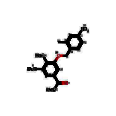 COC(=O)c1cc(OC)c(OC)c(OCc2ccc([N+](=O)[O-])cc2C)c1